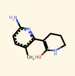 Cc1ccc(N)nc1C1=C(O)NCCC1